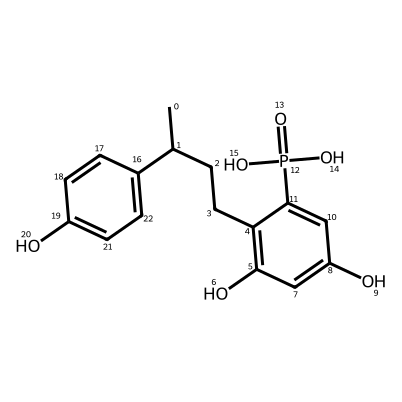 CC(CCc1c(O)cc(O)cc1P(=O)(O)O)c1ccc(O)cc1